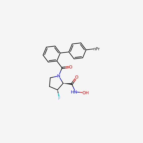 CCCc1ccc(-c2ccccc2C(=O)N2CC[C@H](F)[C@@H]2C(=O)NO)cc1